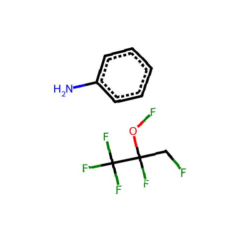 FCC(F)(OF)C(F)(F)F.Nc1ccccc1